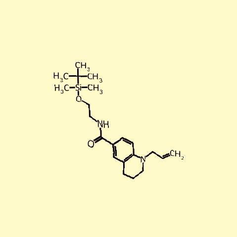 C=CCN1CCCc2cc(C(=O)NCCO[Si](C)(C)C(C)(C)C)ccc21